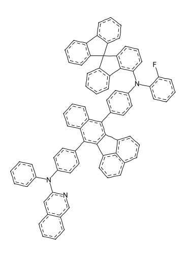 Fc1ccccc1N(c1ccc(-c2c3c(c(-c4ccc(N(c5ccccc5)c5cc6ccccc6cn5)cc4)c4ccccc24)-c2cccc4cccc-3c24)cc1)c1cccc2c1-c1ccccc1C21c2ccccc2-c2ccccc21